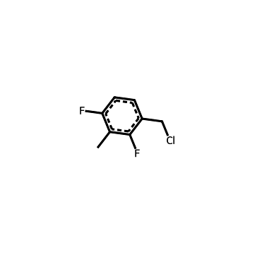 Cc1c(F)ccc(CCl)c1F